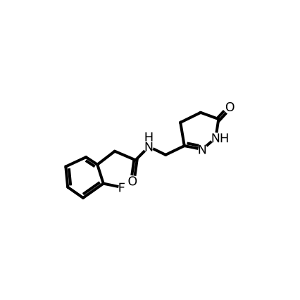 O=C(Cc1ccccc1F)NCC1=NNC(=O)CC1